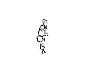 CCc1cn(Cc2ccc(N3CC4(CC4)C3)nc2CC)nn1